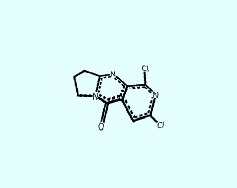 O=c1c2cc(Cl)nc(Cl)c2nc2n1CCC2